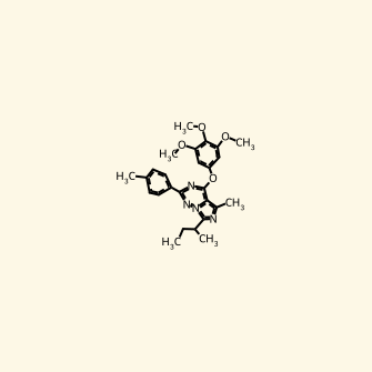 CCC(C)c1nc(C)c2c(Oc3cc(OC)c(OC)c(OC)c3)nc(-c3ccc(C)cc3)nn12